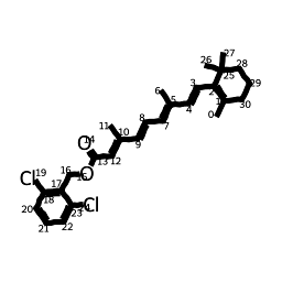 CC1=C(/C=C/C(C)=C/C=C/C(C)=C/C(=O)OCc2c(Cl)cccc2Cl)C(C)(C)CCC1